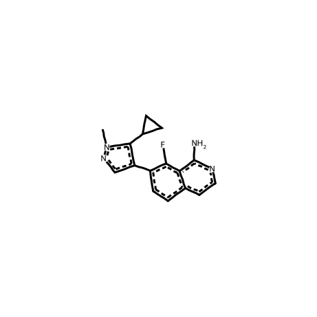 Cn1ncc(-c2ccc3ccnc(N)c3c2F)c1C1CC1